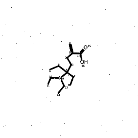 C=C(CCC(CC)(CC)N(CC)CC)C(=O)O